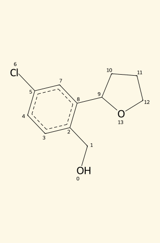 OCc1ccc(Cl)cc1C1CCCO1